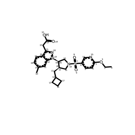 CCOc1ccc(S(=O)(=O)N2C[C@@H](CC3CCC3)[C@@H](n3nc(CC(=O)O)c4ccc(C)cc43)C2)cn1